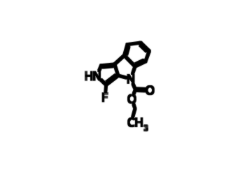 CCOC(=O)n1c2ccccc2c2c[nH]c(F)c21